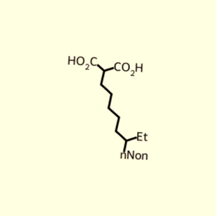 CCCCCCCCCC(CC)CCCCCC(C(=O)O)C(=O)O